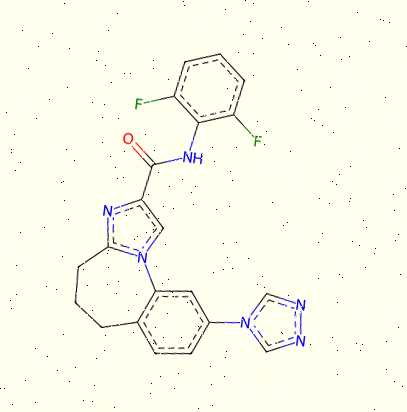 O=C(Nc1c(F)cccc1F)c1cn2c(n1)CCCc1ccc(-n3cnnc3)cc1-2